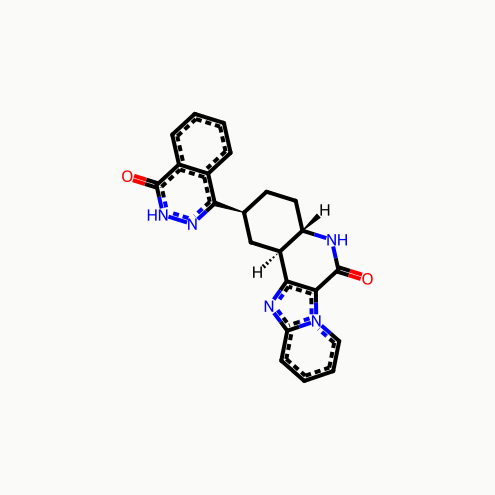 O=C1N[C@H]2CC[C@H](c3n[nH]c(=O)c4ccccc34)C[C@@H]2c2nc3ccccn3c21